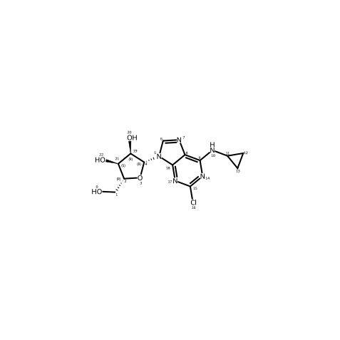 OC[C@H]1O[C@@H](n2cnc3c(NC4CC4)nc(Cl)nc32)[C@H](O)[C@@H]1O